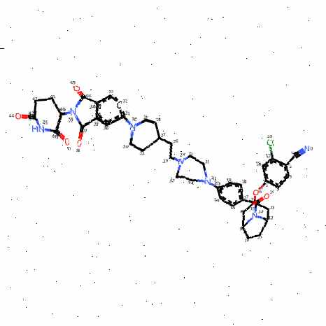 N#Cc1ccc(OC2CC3CCC(C2)N3C(=O)c2ccc(N3CCN(CCC4CCN(c5ccc6c(c5)C(=O)N(C5CCC(=O)NC5=O)C6=O)CC4)CC3)cc2)cc1Cl